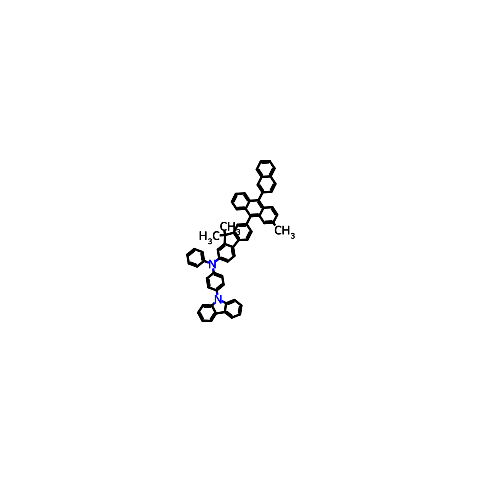 Cc1ccc2c(-c3ccc4ccccc4c3)c3ccccc3c(-c3ccc4c(c3)C(C)(C)c3cc(N(c5ccccc5)c5ccc(-n6c7ccccc7c7ccccc76)cc5)ccc3-4)c2c1